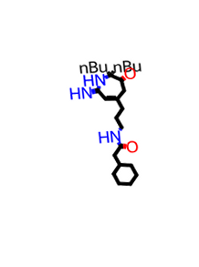 CCCCC1(CCCC)NC(=N)C=C(CCCNC(=O)CC2CCCCC2)CC1=O